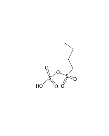 CCCCS(=O)(=O)OS(=O)(=O)O